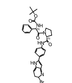 CC(C)(C)OC(=O)N[C@H](C(=O)N1CCC[C@H]1C(=O)Nc1ccc(-c2cc3c([nH]2)=CCC(Br)N=3)cc1)c1ccccc1